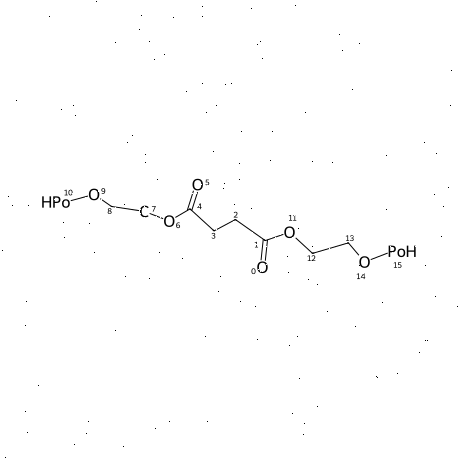 O=C(CCC(=O)OCC[O][PoH])OCC[O][PoH]